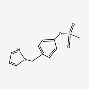 CS(=O)(=O)Oc1ccc(Cn2cccn2)cc1